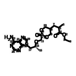 CCOC(=O)C(C)CC1COP(=O)(CO[C@H](C)Cn2cnc3c(N)ncnc32)OC1